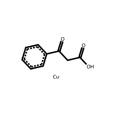 O=C(O)CC(=O)c1ccccc1.[Cu]